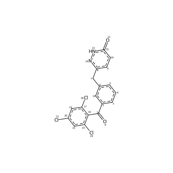 O=C(c1cccc(Cc2ccc(=O)[nH]n2)c1)c1c(Cl)cc(Cl)cc1Cl